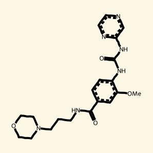 COc1cc(C(=O)NCCCN2CCOCC2)ccc1NC(=O)Nc1cnccn1